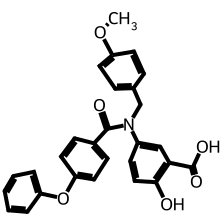 COc1ccc(CN(C(=O)c2ccc(Oc3ccccc3)cc2)c2ccc(O)c(C(=O)O)c2)cc1